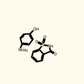 CC(=O)Nc1ccc(O)cc1.O=C1NS(=O)(=O)c2ccccc21